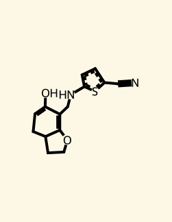 N#Cc1ccc(NCC2=C3OCCC3CC=C2O)s1